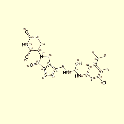 Cc1c(Cl)cc(NC(O)NCc2csc3c2CN(C2CCC(=O)NC2=O)C3=O)cc1C(C)C